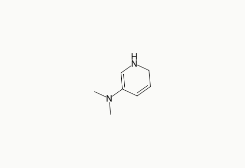 CN(C)C1=CNCC=C1